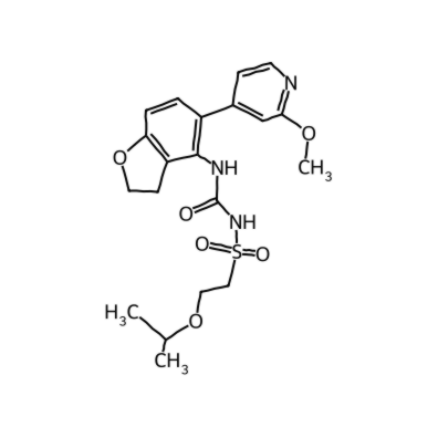 COc1cc(-c2ccc3c(c2NC(=O)NS(=O)(=O)CCOC(C)C)CCO3)ccn1